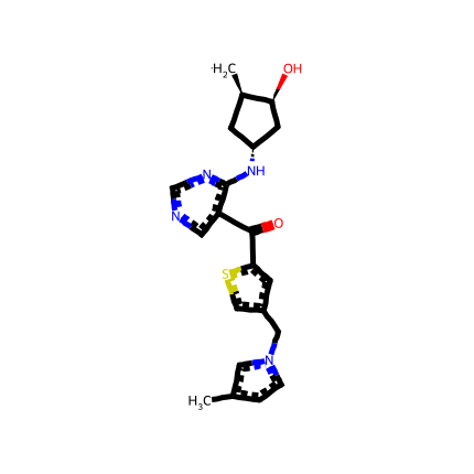 [CH2][C@@H]1C[C@@H](Nc2ncncc2C(=O)c2cc(Cn3ccc(C)c3)cs2)C[C@@H]1O